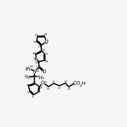 [2H]C([2H])(c1ccccc1OCCCCCC(=O)O)N(C(=O)c1ccc(-c2ccco2)cn1)C(C)C